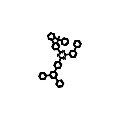 CC1(c2ccccc2)c2ccccc2-c2ccc(-c3nc(-c4ccc(-c5cc(-c6ccccc6)cc(-c6ccccc6)c5)cc4)nc(-c4cccc(-c5ccccc5)c4)n3)cc21